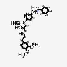 COc1ccc(CCNCC(O)COc2ccc(N/N=C/c3ccccc3)nn2)cc1OC.Cl.Cl